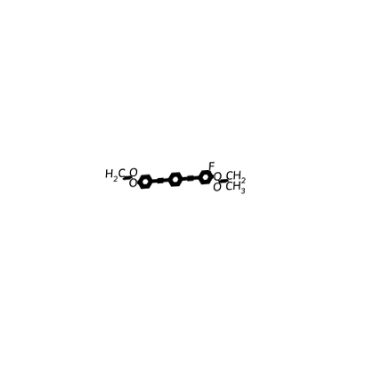 C=CC(=O)Oc1ccc(C#Cc2ccc(C#Cc3ccc(OC(=O)C(=C)C)c(F)c3)cc2)cc1